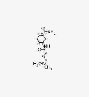 CN(C)C/C=C/C(=O)Nc1cccc(C(N)=O)c1